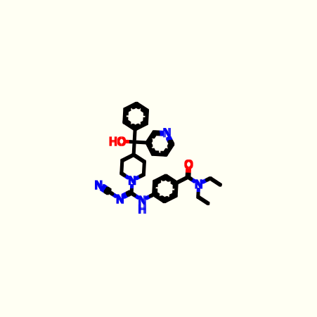 CCN(CC)C(=O)c1ccc(N/C(=N/C#N)N2CCC(C(O)(c3ccccc3)c3cccnc3)CC2)cc1